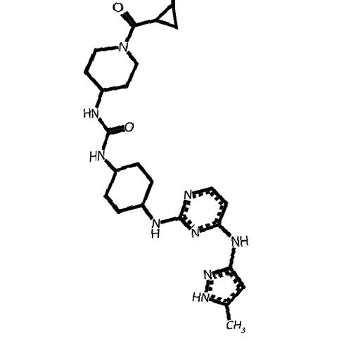 Cc1cc(Nc2ccnc(NC3CCC(NC(=O)NC4CCN(C(=O)C5CC5)CC4)CC3)n2)n[nH]1